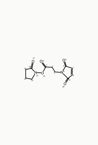 O=C(CCN1C(=O)C=CC1=O)ON1CCCC1=O